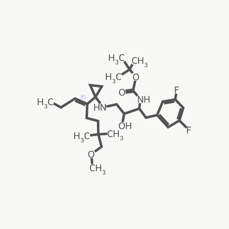 CC/C=C(\CCC(C)(C)COC)C1(NCC(O)C(Cc2cc(F)cc(F)c2)NC(=O)OC(C)(C)C)CC1